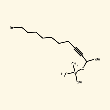 CCCCC(C#CCCCCCCCBr)O[Si](C)(C)C(C)(C)C